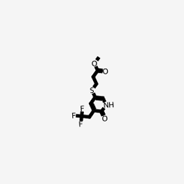 COC(=O)CCSc1c[nH]c(=O)c(CC(F)(F)F)c1